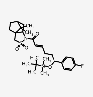 CC1(C)C2CCC13CS(=O)(=O)N(C(=O)/C=C/CC[C@H](O[Si](C)(C)C(C)(C)C)c1ccc(F)cc1)C3C2